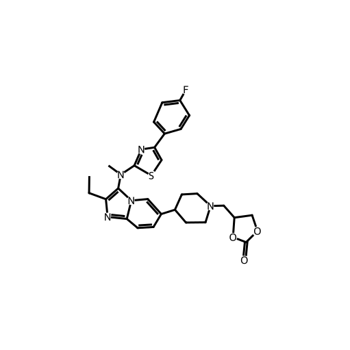 CCc1nc2ccc(C3CCN(CC4COC(=O)O4)CC3)cn2c1N(C)c1nc(-c2ccc(F)cc2)cs1